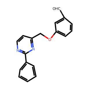 O=Cc1cccc(OCc2ccnc(-c3ccccc3)n2)c1